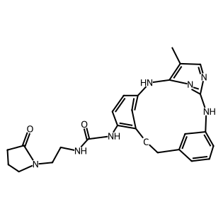 Cc1cnc2nc1Nc1ccc(NC(=O)NCCN3CCCC3=O)c(c1)CCc1cccc(c1)N2